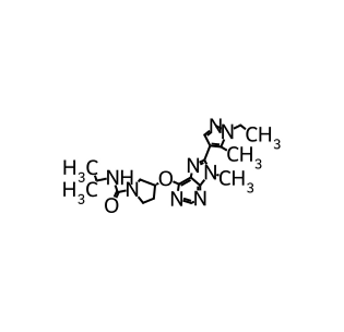 CCn1ncc(-c2nc3c(O[C@H]4CCN(C(=O)NC(C)C)C4)ncnc3n2C)c1C